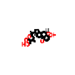 CC1=C(CO)C(=O)OC([C@@H](C)C2CCC3C4C[C@H]5O[C@]56[C@H](O)C=CC(=O)[C@@]65CC45CC[C@@]32C)C1